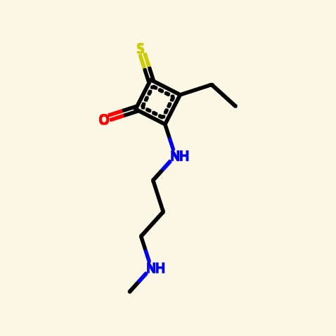 CCc1c(NCCCNC)c(=O)c1=S